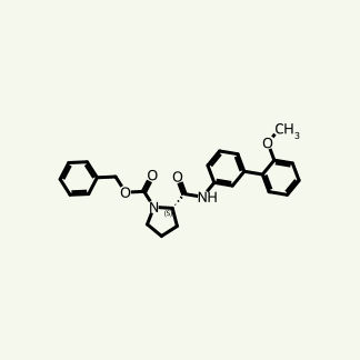 COc1ccccc1-c1cccc(NC(=O)[C@@H]2CCCN2C(=O)OCc2ccccc2)c1